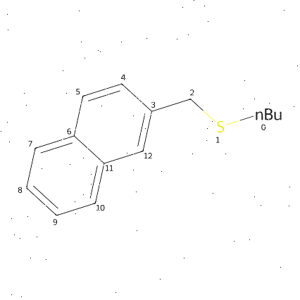 CCCCSCc1ccc2ccccc2c1